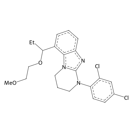 CCC(OCCOC)c1cccc2nc3n(c12)CCCN3c1ccc(Cl)cc1Cl